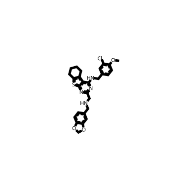 COc1ccc(CNc2nc(CNCc3ccc4c(c3)OCO4)nc3sc4c(c23)CCCC4)cc1Cl